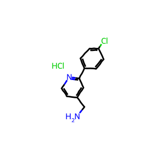 Cl.NCc1ccnc(-c2ccc(Cl)cc2)c1